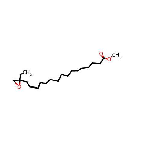 CCC1(C/C=C\CCCCCCCCCCCCC(=O)OC)CO1